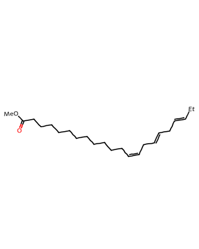 CCC=CCC=CC/C=C\CCCCCCCCCCCC(=O)OC